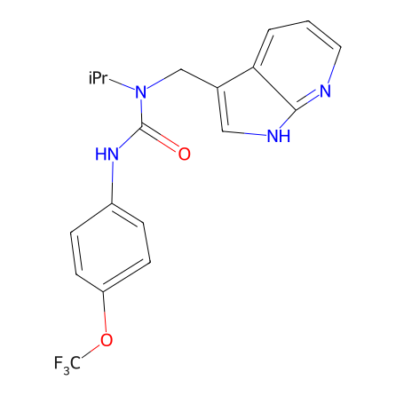 CC(C)N(Cc1c[nH]c2ncccc12)C(=O)Nc1ccc(OC(F)(F)F)cc1